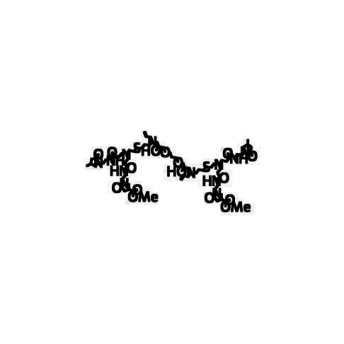 C=CCN(CCCSCCN(CCC(=O)NCCN1CC(C)CC1=O)CCC(=O)NCCN1CC(C(=O)OC)CC1=O)CC(O)COCCCOCC(O)CN(CC=C)CCCSCCN(CCC(=O)NCCN1CC(C)CC1=O)CCC(=O)NCCN1CC(C(=O)OC)CC1=O